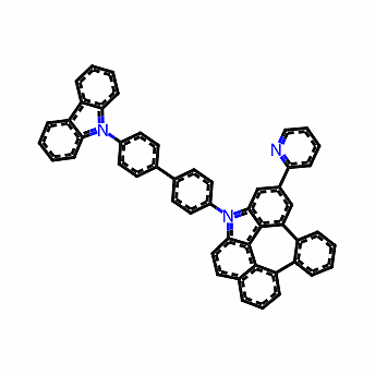 c1ccc(-c2cc3c4c5c6c(cccc6ccc5n(-c5ccc(-c6ccc(-n7c8ccccc8c8ccccc87)cc6)cc5)c4c2)-c2ccccc2-3)nc1